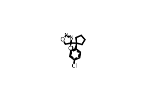 CC1(C2(c3ccc(Cl)cc3)CCCC2)CON=N1